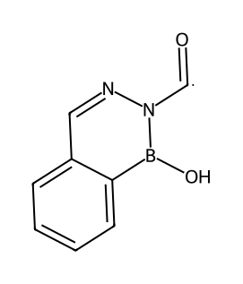 O=[C]N1N=Cc2ccccc2B1O